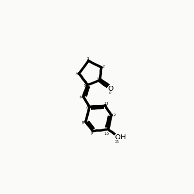 O=C1CCCC1=Cc1ccc(O)cc1